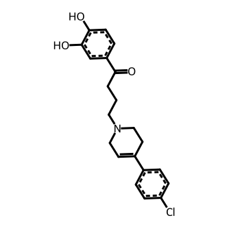 O=C(CCCN1CC=C(c2ccc(Cl)cc2)CC1)c1ccc(O)c(O)c1